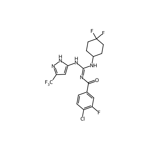 O=C(/N=C(/Nc1cc(C(F)(F)F)n[nH]1)NC1CCC(F)(F)CC1)c1ccc(Cl)c(F)c1